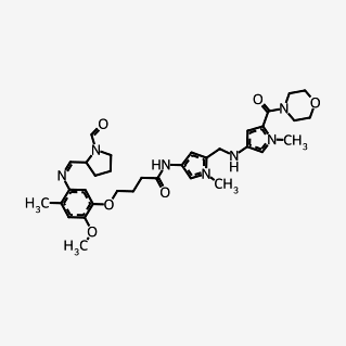 COc1cc(C)c(/N=C\C2CCCN2C=O)cc1OCCCC(=O)Nc1cc(CNc2cc(C(=O)N3CCOCC3)n(C)c2)n(C)c1